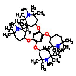 CCCN1C(C)(C)CCC(Oc2cc(OC3CCC(C)(C)N(CCC)C(C)(C)C3)c(OC3CCC(C)(C)N(CCC)C(C)(C)C3)cc2OC2CCC(C)(C)N(CCC)C(C)(C)C2)CC1(C)C